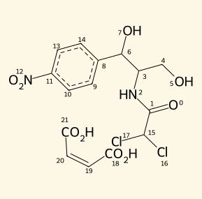 O=C(NC(CO)C(O)c1ccc([N+](=O)[O-])cc1)C(Cl)Cl.O=C(O)/C=C\C(=O)O